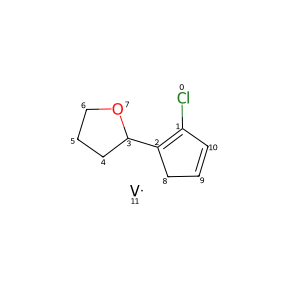 ClC1=C(C2CCCO2)CC=C1.[V]